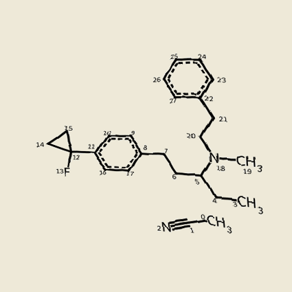 CC#N.CCC(CCc1ccc(C2(F)CC2)cc1)N(C)CCc1ccccc1